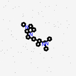 c1ccc(-c2cc(-c3ccc(-c4ccc(-c5cccc6c5nc(-c5ccccc5)c5c6ccc6c5c5ccccc5n6-c5ccccc5)cc4)c4ccccc34)nc(-c3ccccc3)n2)cc1